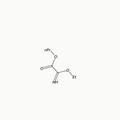 CCCOC(=O)C(=N)OCC